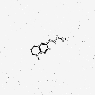 CN1CCCc2cc(SOOO)ccc21